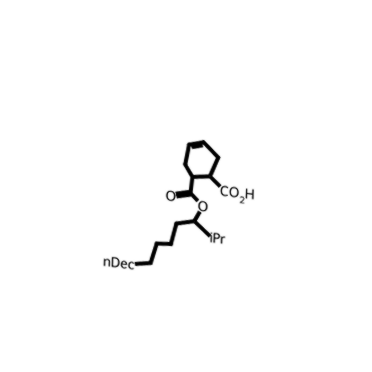 CCCCCCCCCCCCCCC(OC(=O)C1CC=CCC1C(=O)O)C(C)C